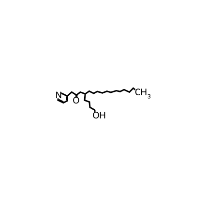 CCCCCCCCCCCCC(CCCCO)CC(=O)Cc1cccnc1